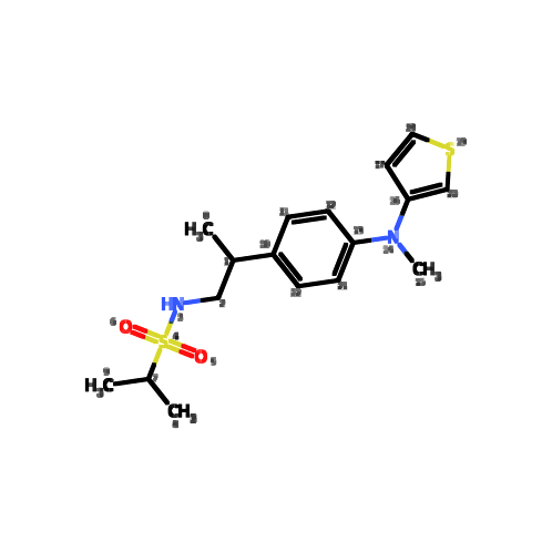 CC(CNS(=O)(=O)C(C)C)c1ccc(N(C)c2ccsc2)cc1